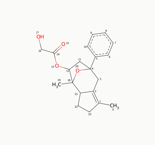 CC1=C2CC3(c4ccccc4)CC(OC(=O)CO)C(C)(O3)C2CC1